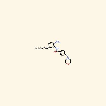 COC/C=C/c1ccc(N)c(NC(=O)c2ccc(CN3CCOCC3)cc2)c1